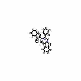 CN1/C(=C\C(=C\c2sc3ccccc3[n+]2C)c2ccccc2)Oc2ccccc21